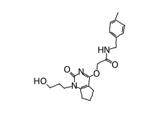 Cc1ccc(CNC(=O)COc2nc(=O)n(CCCO)c3c2CCC3)cc1